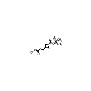 COC(=O)CCC1CN(C(=O)OC(C)(C)C)C1